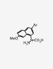 COc1ccc2cc(C(C)=O)cc(N(N)C(=O)O)c2c1